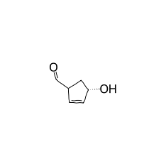 O=CC1C=C[C@@H](O)C1